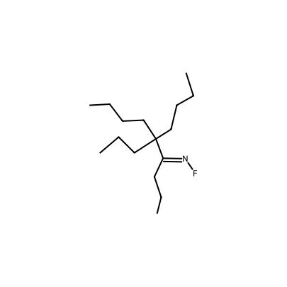 CCCCC(CCC)(CCCC)C(CCC)=NF